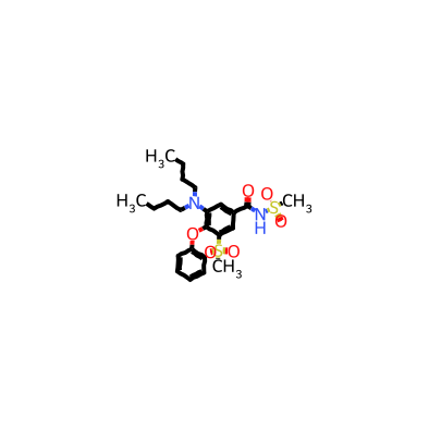 CCCCN(CCCC)c1cc(C(=O)NS(C)(=O)=O)cc(S(C)(=O)=O)c1Oc1ccccc1